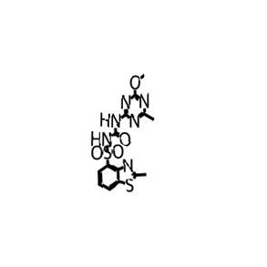 COc1nc(C)nc(NC(=O)NS(=O)(=O)c2cccc3sc(C)nc23)n1